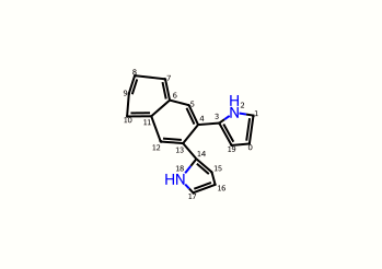 c1c[nH]c(-c2cc3ccccc3cc2-c2ccc[nH]2)c1